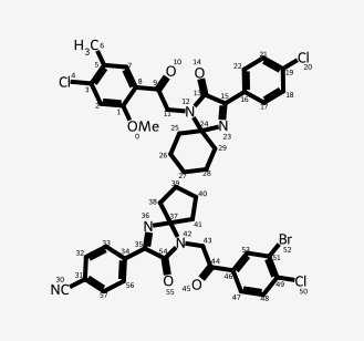 COc1cc(Cl)c(C)cc1C(=O)CN1C(=O)C(c2ccc(Cl)cc2)=NC12CCCCC2.N#Cc1ccc(C2=NC3(CCCC3)N(CC(=O)c3ccc(Cl)c(Br)c3)C2=O)cc1